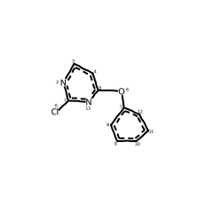 Clc1nccc(Oc2ccccc2)n1